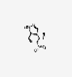 C=O.O=[N+]([O-])c1ccc2[nH]ncc2c1